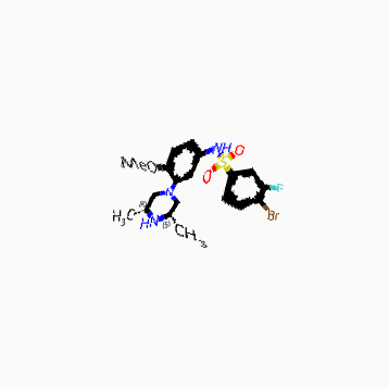 COc1ccc(NS(=O)(=O)c2ccc(Br)c(F)c2)cc1N1C[C@@H](C)N[C@@H](C)C1